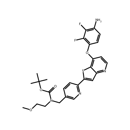 COCCN(Cc1ccc(-c2cc3nccc(Oc4ccc(N)c(F)c4F)c3s2)nc1)C(=O)OC(C)(C)C